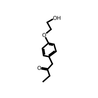 CCC(=O)Cc1ccc(OCCO)cc1